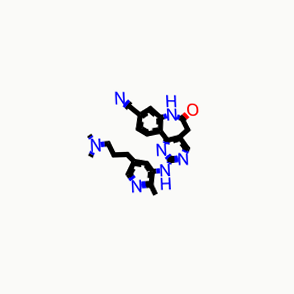 Cc1ncc(CCCN(C)C)cc1Nc1ncc2c(n1)-c1ccc(C#N)cc1NC(=O)C2